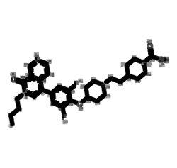 CCCCn1cc(-c2cc(F)c(OC3CCN(CCC4CCN(C(=O)O)CC4)CC3)c(F)c2)c2ccncc2c1=O